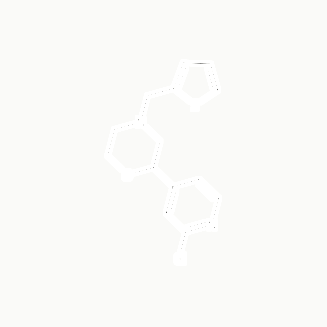 Clc1cc(C2CN(Cc3cccs3)CCO2)ccn1